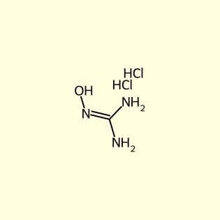 Cl.Cl.NC(N)=NO